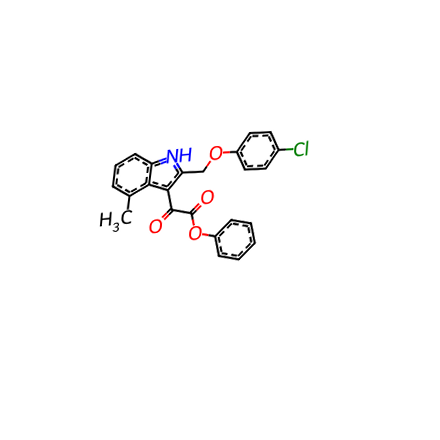 Cc1cccc2[nH]c(COc3ccc(Cl)cc3)c(C(=O)C(=O)Oc3ccccc3)c12